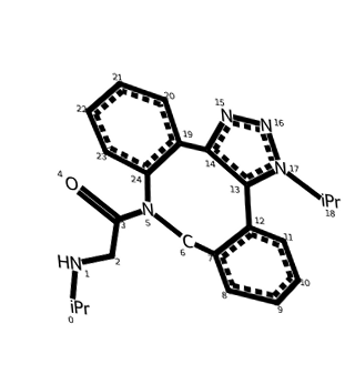 CC(C)NCC(=O)N1Cc2ccccc2-c2c(nnn2C(C)C)-c2ccccc21